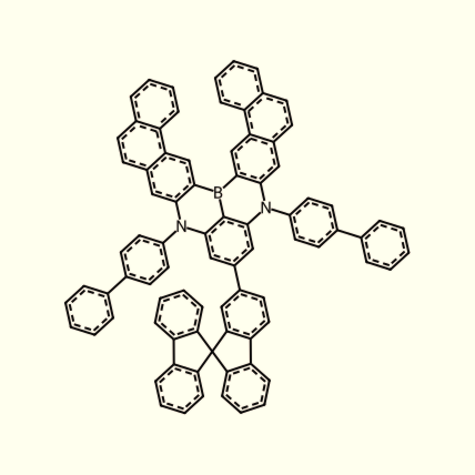 c1ccc(-c2ccc(N3c4cc5ccc6ccccc6c5cc4B4c5cc6c(ccc7ccccc76)cc5N(c5ccc(-c6ccccc6)cc5)c5cc(-c6ccc7c(c6)C6(c8ccccc8-c8ccccc86)c6ccccc6-7)cc3c54)cc2)cc1